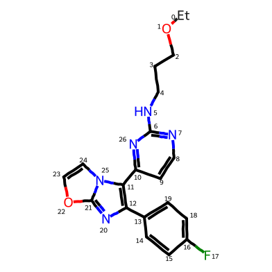 CCOCCCNc1nccc(-c2c(-c3ccc(F)cc3)nc3occn23)n1